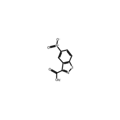 O=C(O)c1nsc2ccc([N+](=O)[O-])cc12